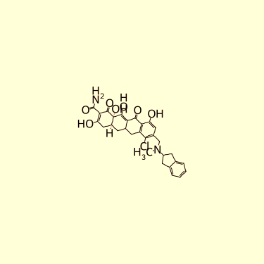 CN(Cc1cc(O)c2c(c1Cl)CC1C[C@H]3CC(O)=C(C(N)=O)C(=O)[C@@]3(O)C(O)=C1C2=O)C1Cc2ccccc2C1